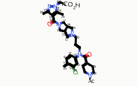 CC(=O)N1CCC(C(=O)N(CCCN2CC3CN(C(=O)c4c(C)nn(CC(=O)O)c4C)CC3C2)c2ccc(C)c(Cl)c2)CC1